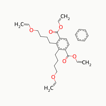 C=COCCCCc1c(C(=O)OC=C)ccc(C(=O)OC=C)c1CCCCOC=C.c1ccccc1